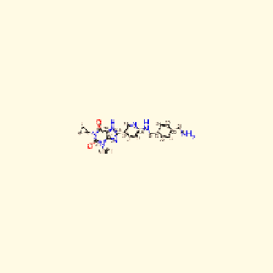 CCCn1c(=O)n(C2CC2)c(=O)c2[nH]c(-c3ccc(NCc4ccc(CN)cc4)nc3)nc21